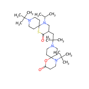 CC(C)N1CC(CC(C)(C)N2CCC3(CC2)OC(=O)CCN3C(C)(C)C)C(=O)SC12CCN(C(C)(C)C)CC2